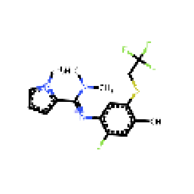 Cc1cc(F)c(/N=C(/c2cccn2C)N(C)C)cc1SCC(F)(F)F